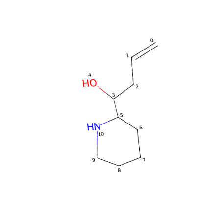 C=CCC(O)C1CCCCN1